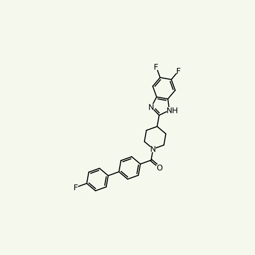 O=C(c1ccc(-c2ccc(F)cc2)cc1)N1CCC(c2nc3cc(F)c(F)cc3[nH]2)CC1